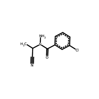 CC(C#N)N(N)C(=O)c1cccc(Cl)c1